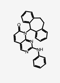 O=c1ccc2cnc(Nc3ccccc3)nc2n1C1c2ccccc2CCc2ccccc21